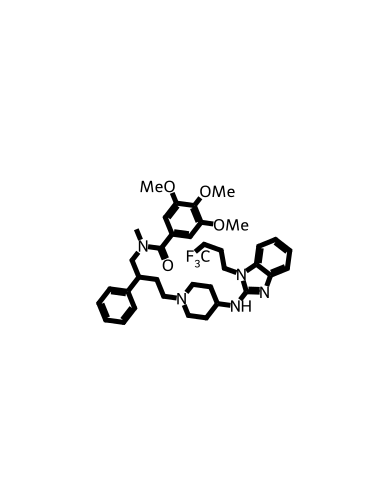 COc1cc(C(=O)N(C)CC(CCN2CCC(Nc3nc4ccccc4n3CCCC(F)(F)F)CC2)c2ccccc2)cc(OC)c1OC